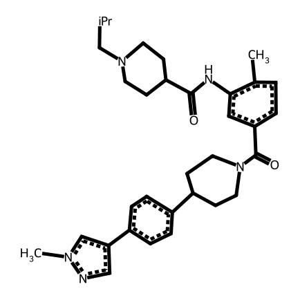 Cc1ccc(C(=O)N2CCC(c3ccc(-c4cnn(C)c4)cc3)CC2)cc1NC(=O)C1CCN(CC(C)C)CC1